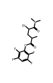 CCC(CC(C)C(=O)Oc1c(F)c(F)cc(F)c1F)C(=O)N(C)C